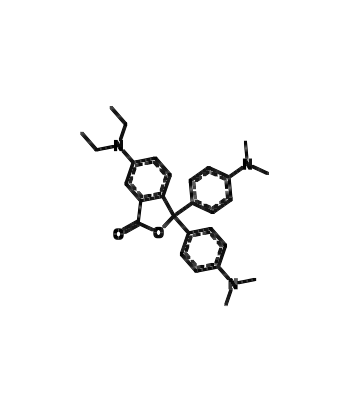 CCN(CC)c1ccc2c(c1)C(=O)OC2(c1ccc(N(C)C)cc1)c1ccc(N(C)C)cc1